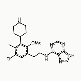 COc1c(CCNc2ncnc3[nH]cnc23)cc(Cl)c(C)c1C1CCNCC1